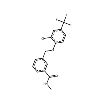 CNC(=O)c1cccc(COc2ccc(C(F)(F)F)cc2Cl)c1